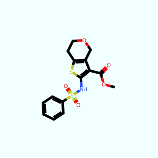 COC(=O)c1c(NS(=O)(=O)c2ccccc2)sc2c1COCC2